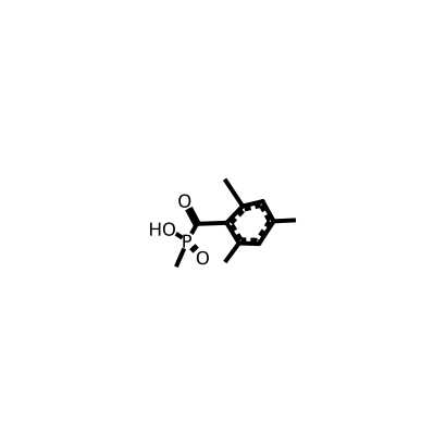 Cc1cc(C)c(C(=O)P(C)(=O)O)c(C)c1